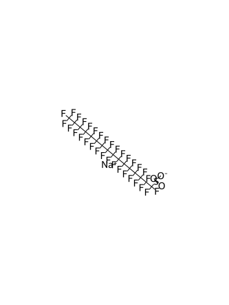 O=S(=O)([O-])C(F)(F)C(F)(F)C(F)(F)C(F)(F)C(F)(F)C(F)(F)C(F)(F)C(F)(F)C(F)(F)C(F)(F)C(F)(F)C(F)(F)C(F)(F)C(F)(F)C(F)(F)C(F)(F)F.[Na+]